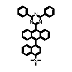 C[Si](C)(C)c1ccc(-c2c3ccccc3c(-c3nc(-c4ccccc4)nc(-c4ccccc4)n3)c3ccccc23)c2ccccc12